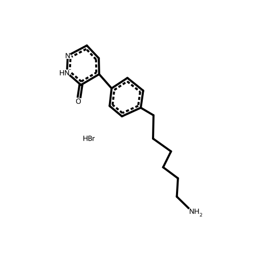 Br.NCCCCCCc1ccc(-c2ccn[nH]c2=O)cc1